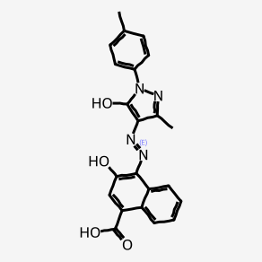 Cc1ccc(-n2nc(C)c(/N=N/c3c(O)cc(C(=O)O)c4ccccc34)c2O)cc1